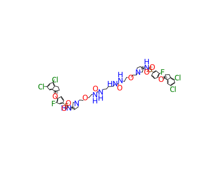 O=C(NCCCCNC(=O)NCCOCCN1CC[C@@H](NS(=O)(=O)c2ccc(O[C@@H]3CCc4c(Cl)cc(Cl)cc43)c(F)c2)C1)NCCOCCN1CC[C@@H](NS(=O)(=O)c2ccc(O[C@@H]3CCc4c(Cl)cc(Cl)cc43)c(F)c2)C1